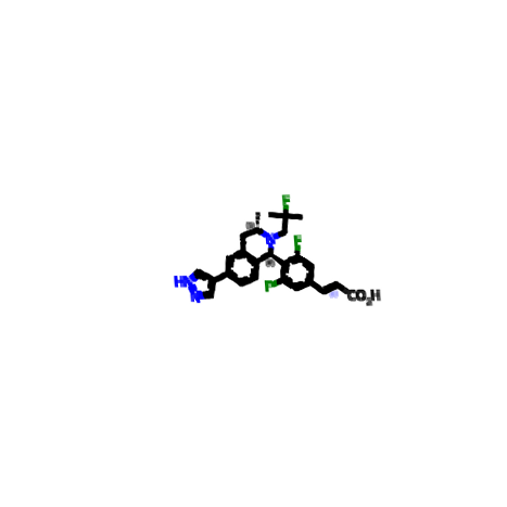 C[C@H]1Cc2cc(-c3cn[nH]c3)ccc2[C@H](c2c(F)cc(/C=C/C(=O)O)cc2F)N1CC(C)(C)F